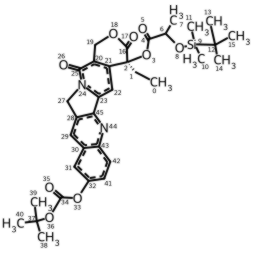 CC[C@@]1(OC(=O)C(C)O[Si](C)(C)C(C)(C)C)C(=O)OCc2c1cc1n(c2=O)Cc2cc3cc(OC(=O)OC(C)(C)C)ccc3nc2-1